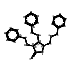 O=C1O[C@H](COCc2ccccc2)[C@H](OCc2ccccc2)[C@@H]1OCc1ccccc1